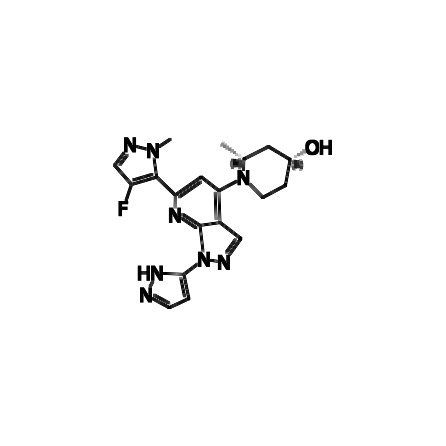 C[C@@H]1C[C@H](O)CCN1c1cc(-c2c(F)cnn2C)nc2c1cnn2-c1ccn[nH]1